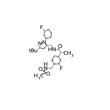 CC(C(=O)NCc1cc(C(C)(C)C)nn1-c1cccc(F)c1)c1ccc(CNS(C)(=O)=O)c(F)c1